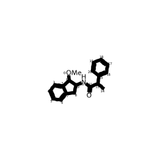 COC1c2ccccc2CC1NC(=O)C(C)c1ccccc1